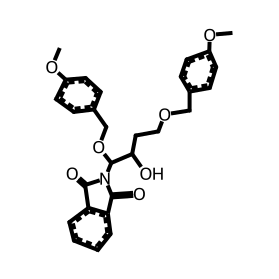 COc1ccc(COCCC(O)C(OCc2ccc(OC)cc2)N2C(=O)c3ccccc3C2=O)cc1